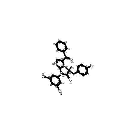 C[C@@]1(Cc2ccc(Br)cc2)C(=O)N(c2cc(Cl)cc(Cl)c2)c2ncc(C(=O)c3ccccc3)n21